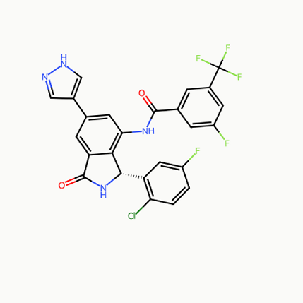 O=C(Nc1cc(-c2cn[nH]c2)cc2c1[C@H](c1cc(F)ccc1Cl)NC2=O)c1cc(F)cc(C(F)(F)F)c1